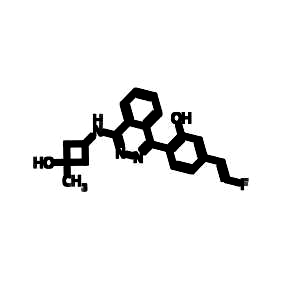 CC1(O)CC(Nc2nnc(-c3ccc(/C=C/F)cc3O)c3ccccc23)C1